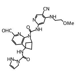 COCCNc1cc(NC(=O)N2c3nc(C=O)ccc3C3(NC(=O)N4CC=CN4)CC2C3)ncc1C#N